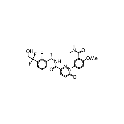 COc1ccc(-n2nc(C(=O)N[C@H](C)c3cccc(C(F)(F)CO)c3F)ccc2=O)cc1C(=O)N(C)C